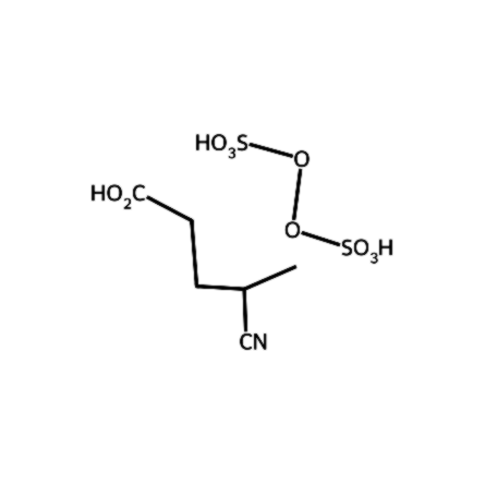 CC(C#N)CCC(=O)O.O=S(=O)(O)OOS(=O)(=O)O